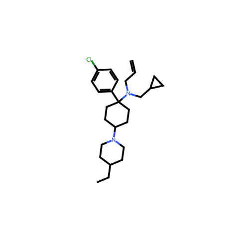 C=CCN(CC1CC1)C1(c2ccc(Cl)cc2)CCC(N2CCC(CC)CC2)CC1